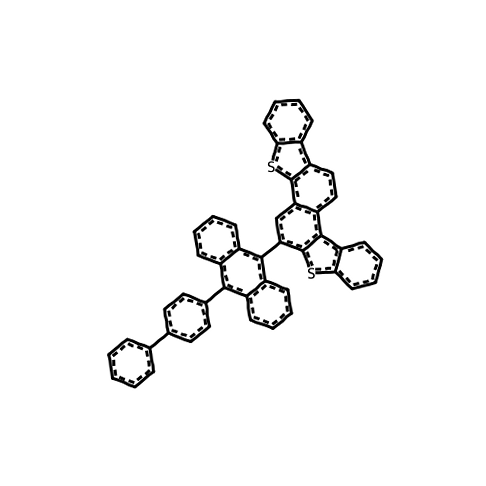 c1ccc(-c2ccc(-c3c4ccccc4c(-c4cc5c(ccc6c7ccccc7sc65)c5c4sc4ccccc45)c4ccccc34)cc2)cc1